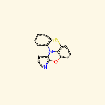 Sc1cccc2c1N(c1ccccc1)c1cccnc1O2